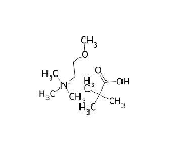 CC(C)(C)C(=O)O.COCC[N+](C)(C)C